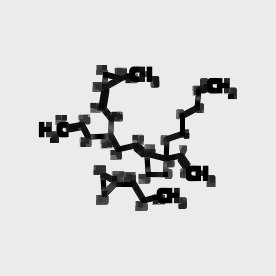 C=CCCCCC1(C=C)CCC1=CCC(CC=C)CC=C1CC1C.CCC=C1CC1